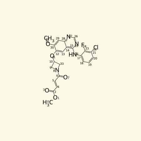 COC(=O)C=CC(=O)N1CC(Oc2cc3c(Nc4cccc(Cl)c4F)ncnc3cc2OC)C1